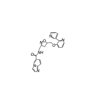 O=C(NCC1=NOC(COc2cccnc2-c2cccnc2)C1)c1ccc2nccn2c1